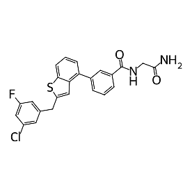 NC(=O)CNC(=O)c1cccc(-c2cccc3sc(Cc4cc(F)cc(Cl)c4)cc23)c1